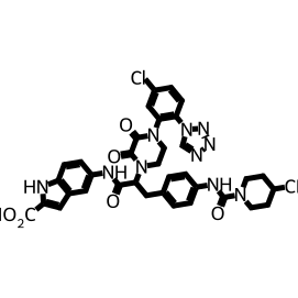 N#CC1CCN(C(=O)Nc2ccc(CC(C(=O)Nc3ccc4[nH]c(C(=O)O)cc4c3)N3CCN(c4cc(Cl)ccc4-n4cnnn4)C(=O)C3=O)cc2)CC1